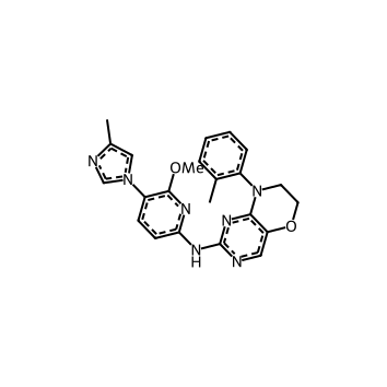 COc1nc(Nc2ncc3c(n2)N(c2ccccc2C)CCO3)ccc1-n1cnc(C)c1